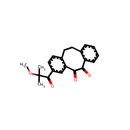 COC(C)(C)C(=O)c1ccc2c(c1)C(=O)C(=O)c1ccccc1CC2